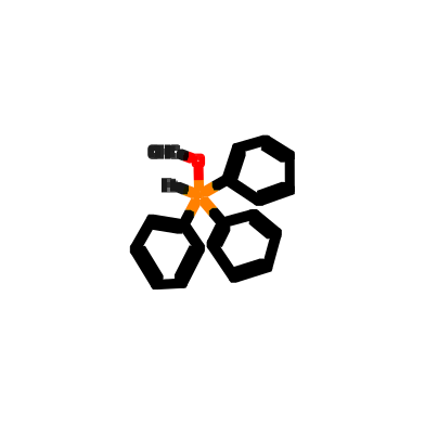 CCP(OC=O)(c1ccccc1)(c1ccccc1)c1ccccc1